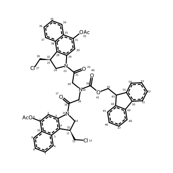 CC(=O)Oc1cc2c(c3ccccc13)[C@H](CCl)CN2C(=O)CN(CC(=O)N1C[C@@H](CCl)c2c1cc(OC(C)=O)c1ccccc21)C(=O)OCC1c2ccccc2-c2ccccc21